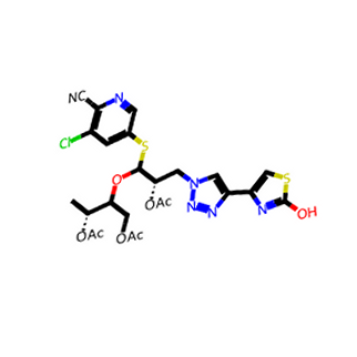 CC(=O)OCC(OC(Sc1cnc(C#N)c(Cl)c1)[C@H](Cn1cc(-c2csc(O)n2)nn1)OC(C)=O)[C@@H](C)OC(C)=O